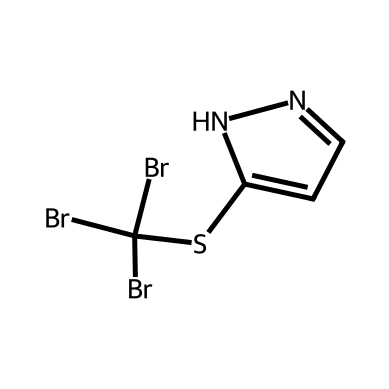 BrC(Br)(Br)Sc1ccn[nH]1